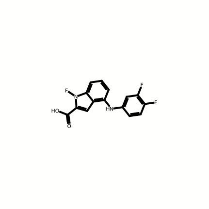 O=C(O)c1cc2c(Nc3ccc(F)c(F)c3)cccc2n1F